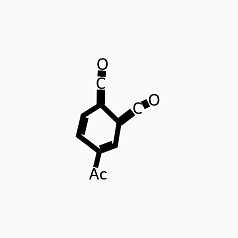 CC(=O)c1ccc(=C=O)c(=C=O)c1